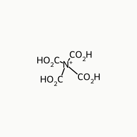 O=C(O)[N+](C(=O)O)(C(=O)O)C(=O)O